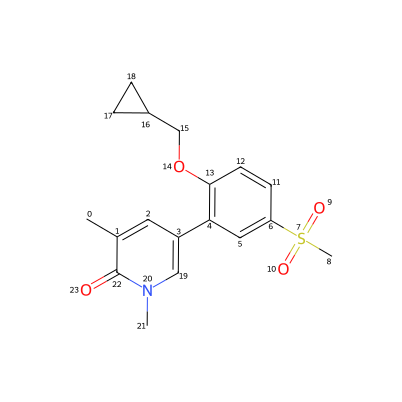 Cc1cc(-c2cc(S(C)(=O)=O)ccc2OCC2CC2)cn(C)c1=O